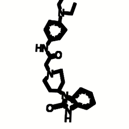 CCN(CC)c1ccc(NC(=O)CN2CCC(n3c(=O)[nH]c4ccccc43)CC2)cc1